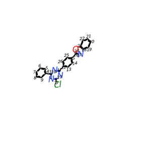 Clc1nc(-c2ccccc2)nc(-c2ccc(-c3nc4ccccc4o3)cc2)n1